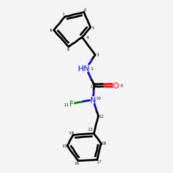 O=C(NCc1ccccc1)N(F)Cc1ccccc1